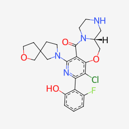 O=C1c2c(N3CCC4(CCOC4)C3)nc(-c3c(O)cccc3F)c(Cl)c2OC[C@H]2CNCCN12